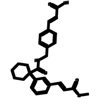 COC(=O)/C=C/c1cccc(C2(C(=O)NCc3ccc(/C=C/C(=O)O)cc3)CCCCC2)c1